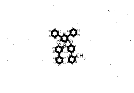 Cc1ccccc1-c1ccc2c(c1)B1c3cc(-c4ccccc4)ccc3Oc3c(-c4ccccc4)cc(-c4ccccc4)c(c31)O2